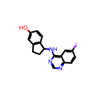 Oc1ccc2c(c1)CCC2Nc1ncnc2ccc(I)cc12